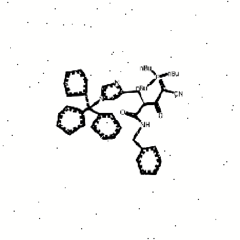 CCCCP(CCCC)(CCCC)=C(C#N)C(=O)[C@H](Cc1cn(C(c2ccccc2)(c2ccccc2)c2ccccc2)cn1)C(=O)NCc1ccccc1